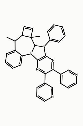 CC1c2ccccc2N2c3nc(-c4cccnc4)c(-c4cccnc4)nc3N(c3ccccc3)C2C2(C)C=CC12